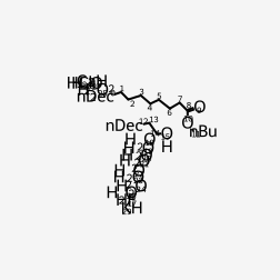 CCCCCCCCCCCCCCCCCC(=O)OCCCC.CCCCCCCCCCCCO.Cl.F.O.O.O.O.O.O.O.O.O.O.[CaH2].[KH]